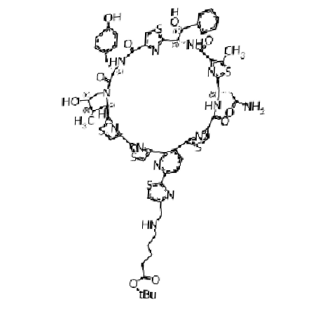 Cc1sc2nc1C(=O)N[C@@H]([C@H](O)c1ccccc1)c1nc(cs1)C(=O)N[C@@H](Cc1ccc(O)cc1)C(=O)N1C[C@H](O)[C@H](C)[C@H]1c1nc(cs1)-c1nc(cs1)-c1nc(-c3nc(CNCCCCC(=O)OC(C)(C)C)cs3)ccc1-c1nc(cs1)C(=O)N[C@H]2CC(N)=O